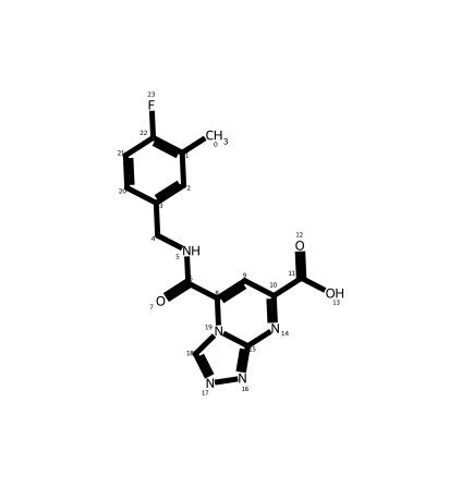 Cc1cc(CNC(=O)c2cc(C(=O)O)nc3nncn23)ccc1F